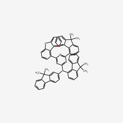 CC1(C)c2ccccc2-c2ccc(N(c3nc(-c4cccc5c4-c4ccccc4C5(C)C)nc(-c4cccc5oc6ccccc6c45)n3)c3cccc4c3-c3ccccc3C4(C)C)cc21